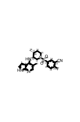 Cc1cnc2[nH]ccc2c1N[C@H]1CN(S(=O)(=O)c2ccc(F)c(C#N)c2)CC[C@H]1C